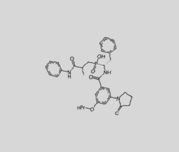 CCCOc1cc(C(=O)N[C@@H](Cc2ccccc2)P(=O)(O)CC(C)C(=O)Nc2ccccc2)cc(N2CCCC2=O)c1